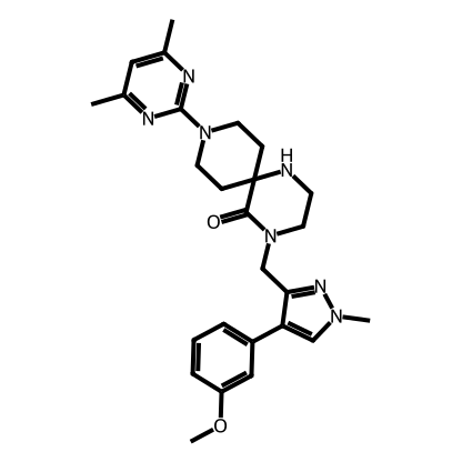 COc1cccc(-c2cn(C)nc2CN2CCNC3(CCN(c4nc(C)cc(C)n4)CC3)C2=O)c1